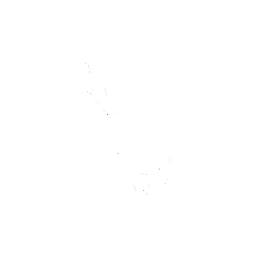 CC(C)(C(=O)Nc1ccc(C#N)nc1)[C@@H]1CC2C[C@H](c3ccnc4ccc(F)cc34)C[C@@H]2C1